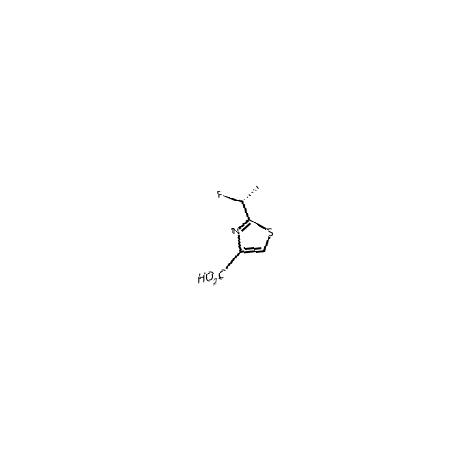 C[C@@H](F)c1nc(C(=O)O)cs1